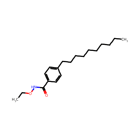 CCCCCCCCCCc1ccc(C(=O)NOCC)cc1